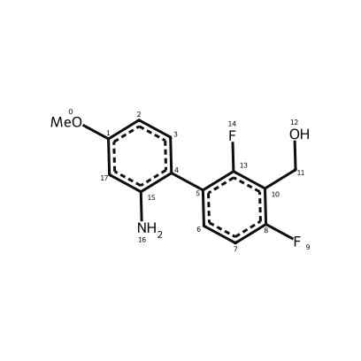 COc1ccc(-c2ccc(F)c(CO)c2F)c(N)c1